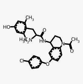 CC(=O)N1CCC(NC(=O)C(N)Cc2c(C)cc(O)cc2C)c2cc(Oc3ccc(Cl)cc3)ccc21